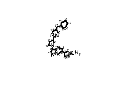 Cn1cc(-c2cnc3c(N4CCC(c5ncc(Cc6ccccc6)cn5)C4)cnn3c2)cn1